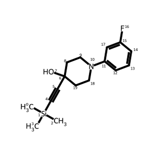 C[Si](C)(C)C#CC1(O)CCN(c2cccc(F)c2)CC1